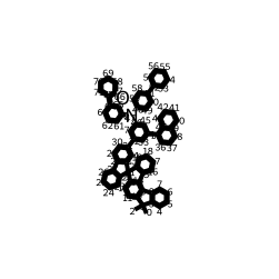 CC1(C)c2ccccc2-c2c1ccc1c2-c2ccccc2C12c1ccccc1-c1ccc(-c3cc(-c4cccc5ccccc45)cc(N(c4ccc(-c5ccccc5)cc4)c4cccc5c4oc4ccccc45)c3)cc12